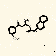 O=C(Cc1ccc2ccccc2c1)OC(CC(=O)c1cccc(C(=O)O)c1)C(Cl)(Cl)Cl